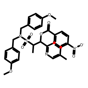 COc1ccc(CN(Cc2ccc(OC)cc2)S(=O)(=O)C(C)C(OC(=O)c2ccc([N+](=O)[O-])cc2)c2ncc(C)cn2)cc1